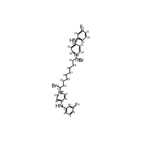 Fc1cccc(Nc2cc[n+](C(Br)CCCCCCCCC(Br)[n+]3ccc(Nc4cccc(F)c4)cc3)cc2)c1